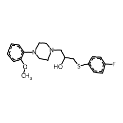 COc1ccccc1N1CCN(CC(O)CSc2ccc(F)cc2)CC1